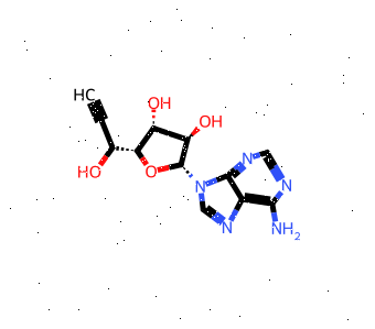 C#CC(O)[C@H]1O[C@@H](n2cnc3c(N)ncnc32)[C@H](O)[C@H]1O